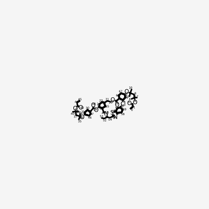 C=CC(=O)OC(C)(C)CC(C)(C)Oc1ccc(C(=O)OCCc2ccc(OC(=O)c3ccc(OC(C)(C)CC(C)(C)OC(=O)C=C)cc3)c(/C=N/C(CC)Cc3nc4ccc(Cl)cc4s3)c2)cc1